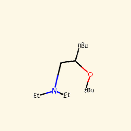 CCCCC(CN(CC)CC)OC(C)(C)C